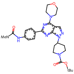 CNC(=O)Nc1ccc(-c2nc(N3CCOCC3)c3cnn(C4CCN(C(=O)OC(C)(C)C)CC4)c3n2)cc1